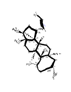 C/C=C\[C@H]1C[C@H](OC(C)=O)[C@@]2(C)CC[C@H]3[C@@H](CC[C@H]4C[C@H](O)C[C@H](C)[C@@]43C)[C@H]12